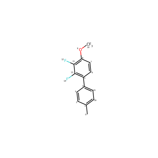 Cc1ccc(-c2ccc(OC(F)(F)F)c(F)c2F)cc1